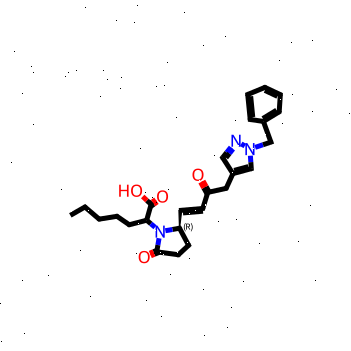 CCCCCC(C(=O)O)N1C(=O)CC[C@@H]1C=CC(=O)Cc1cnn(Cc2ccccc2)c1